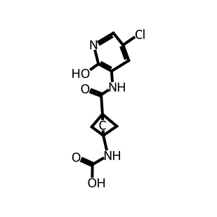 O=C(O)NC12CC(C(=O)Nc3cc(Cl)cnc3O)(C1)C2